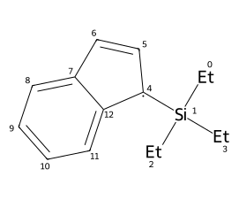 CC[Si](CC)(CC)[C]1C=Cc2ccccc21